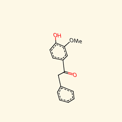 COc1cc(C(=O)Cc2ccccc2)ccc1O